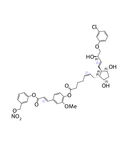 COc1cc(/C=C/C(=O)Oc2cccc(CO[N+](=O)[O-])c2)ccc1OC(=O)CCC/C=C\C[C@@H]1[C@@H](/C=C/[C@@H](O)COc2cccc(Cl)c2)[C@H](O)C[C@@H]1O